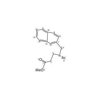 COC(=O)CCC(Sc1ccc2ccccc2c1)C(C)=O